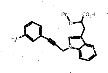 CC(C)OC(Cc1cn(CC#Cc2cccc(C(F)(F)F)c2)c2ccccc12)C(=O)O